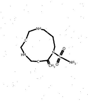 C=C1CCNCCCNCCCN1S(N)(=O)=O